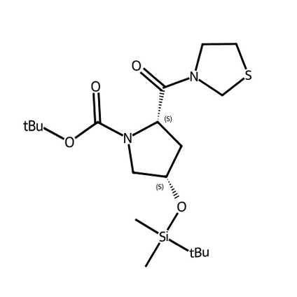 CC(C)(C)OC(=O)N1C[C@@H](O[Si](C)(C)C(C)(C)C)C[C@H]1C(=O)N1CCSC1